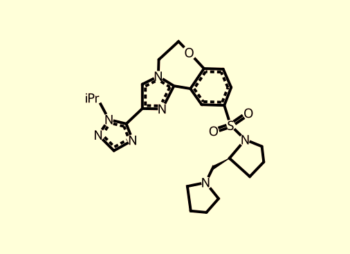 CC(C)n1ncnc1-c1cn2c(n1)-c1cc(S(=O)(=O)N3CCC[C@H]3CN3CCCC3)ccc1OCC2